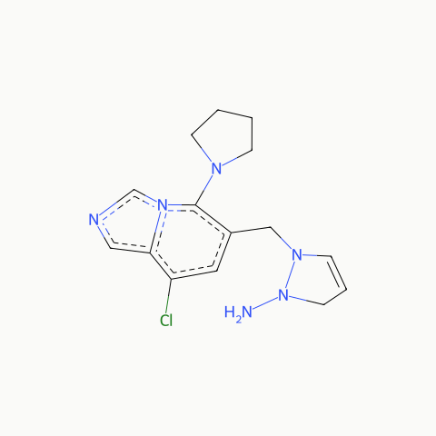 NN1CC=CN1Cc1cc(Cl)c2cncn2c1N1CCCC1